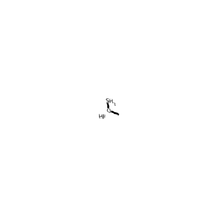 CO[SiH3].F